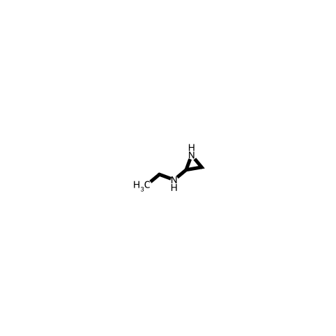 CCNC1CN1